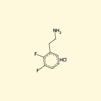 Cl.NCCc1cccc(F)c1F